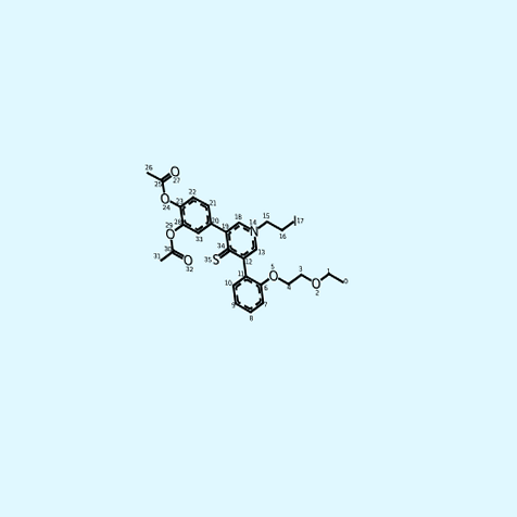 CCOCCOc1ccccc1-c1cn(CCI)cc(-c2ccc(OC(C)=O)c(OC(C)=O)c2)c1=S